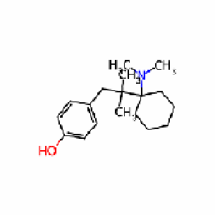 CN(C)C1(C(C)(C)Cc2ccc(O)cc2)CCCCC1